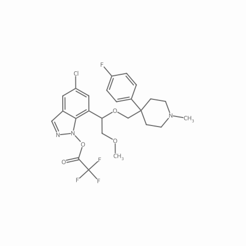 COCC(OCC1(c2ccc(F)cc2)CCN(C)CC1)c1cc(Cl)cc2cnn(OC(=O)C(F)(F)F)c12